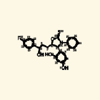 Oc1ccc([C@@H]2[C@@H](CCC(O)c3ccc(F)cc3)OC(=S)N2c2ccccc2)c(O)c1